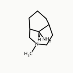 CN1CCC2CCCC(C1)[C@H]2N